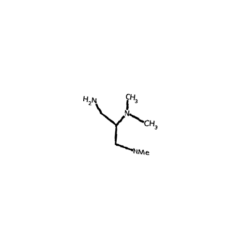 CNCC(CN)N(C)C